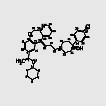 C=C(OC1CCCCC1)c1ccc2c(c1)/C(=C/CCN1CCC(O)(c3ccc(Cl)cc3)CC1)c1cccnc1CO2